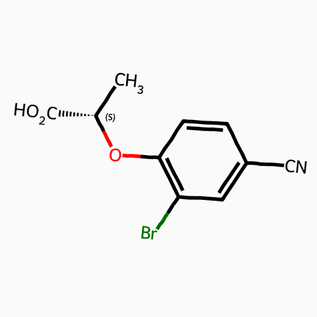 C[C@H](Oc1ccc(C#N)cc1Br)C(=O)O